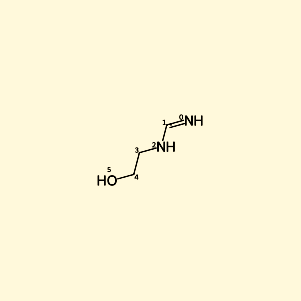 N=[C]NCCO